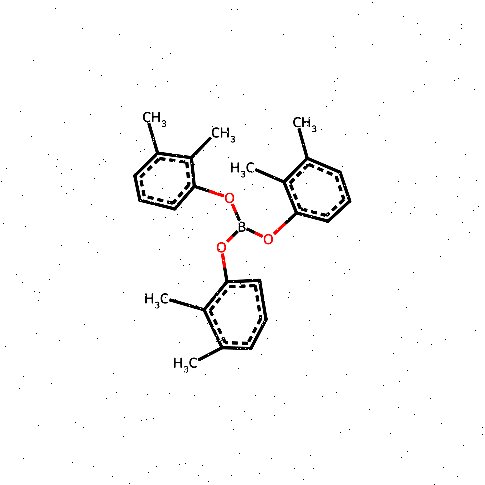 Cc1cccc(OB(Oc2cccc(C)c2C)Oc2cccc(C)c2C)c1C